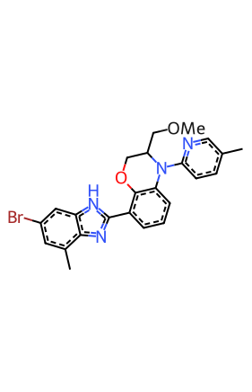 COCC1COc2c(-c3nc4c(C)cc(Br)cc4[nH]3)cccc2N1c1ccc(C)cn1